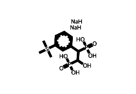 C[Si](C)(C)c1cccc(C(C(O)P(=O)(O)O)P(=O)(O)O)c1.[NaH].[NaH]